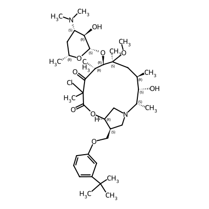 CO[C@@]1(C)C[C@@H](C)[C@H](O)[C@H](C)N2C[C@@H](COc3cccc(C(C)(C)C)c3)[C@H](C2)OC(=O)C(C)(Cl)C(=O)[C@H](C)[C@H]1O[C@@H]1O[C@H](C)C[C@H](N(C)C)[C@H]1O